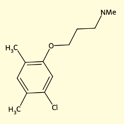 CNCCCOc1cc(Cl)c(C)cc1C